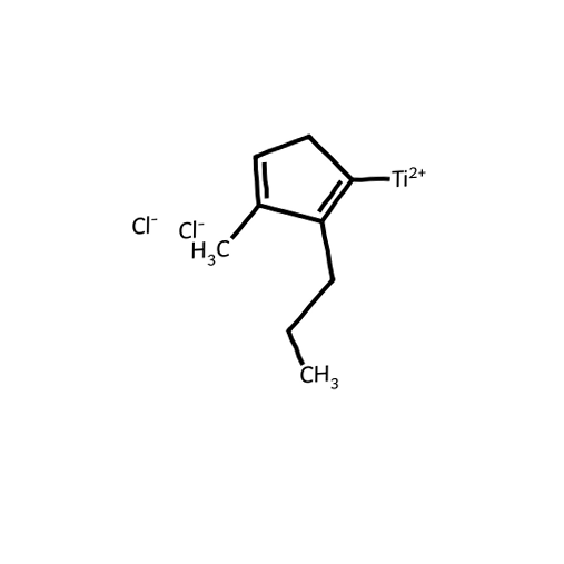 CCCC1=[C]([Ti+2])CC=C1C.[Cl-].[Cl-]